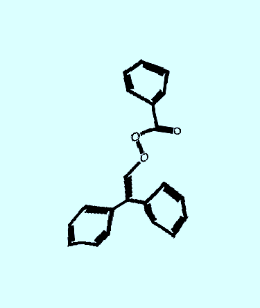 O=C(OOC=C(c1ccccc1)c1ccccc1)c1ccccc1